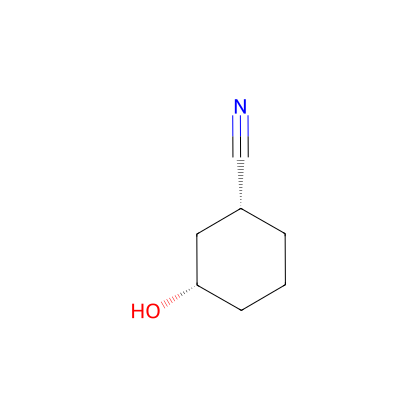 N#C[C@@H]1CCC[C@H](O)C1